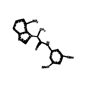 COc1cc(NC(=O)C(C)n2cnc3cccc([N+](=O)[O-])c32)cc(OC)c1